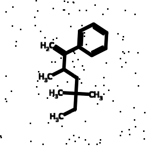 C=C(c1ccccc1)C(C)CC(C)(C)CC